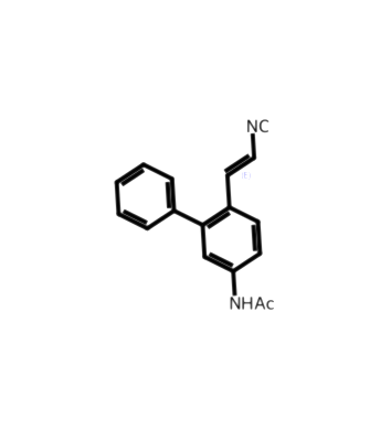 [C-]#[N+]/C=C/c1ccc(NC(C)=O)cc1-c1ccccc1